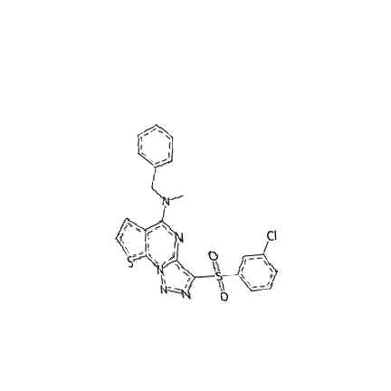 CN(Cc1ccccc1)c1nc2c(S(=O)(=O)c3cccc(Cl)c3)nnn2c2sccc12